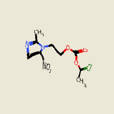 Cc1ncc([N+](=O)[O-])n1CCOC(=O)OC(C)Cl